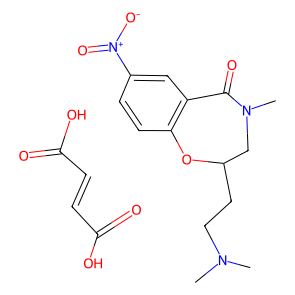 CN(C)CCC1CN(C)C(=O)c2cc([N+](=O)[O-])ccc2O1.O=C(O)/C=C/C(=O)O